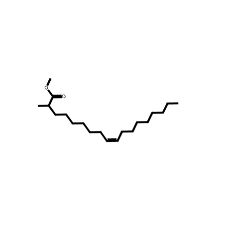 CCCCCCCC/C=C\CCCCCCC(C)C(=O)OC